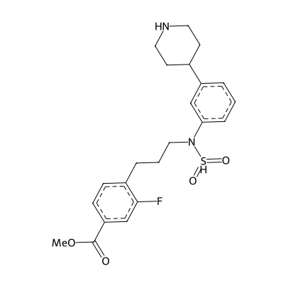 COC(=O)c1ccc(CCCN(c2cccc(C3CCNCC3)c2)[SH](=O)=O)c(F)c1